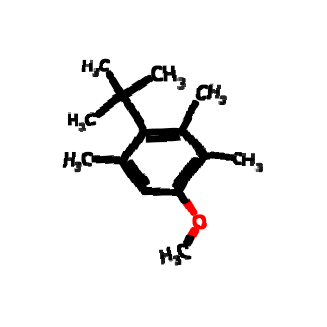 COc1cc(C)c(C(C)(C)C)c(C)c1C